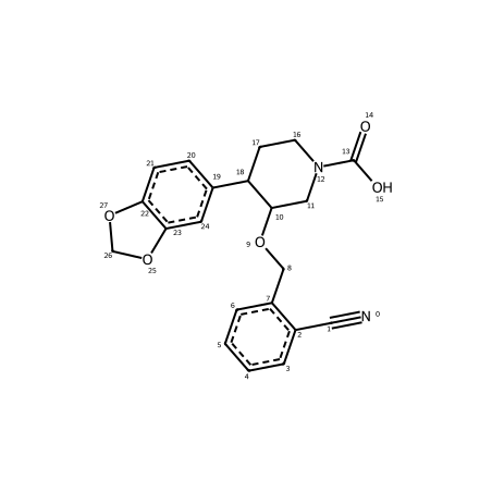 N#Cc1ccccc1COC1CN(C(=O)O)CCC1c1ccc2c(c1)OCO2